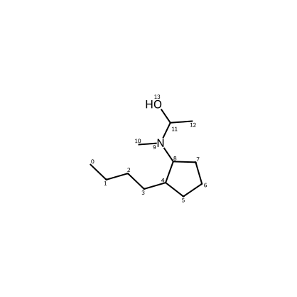 CCCCC1CCCC1N(C)C(C)O